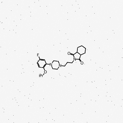 CC(C)Oc1ccc(F)cc1N1CCN(CCCN2C(=O)C3CCCCC3C2=O)CC1